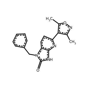 Cc1noc(C)c1-c1ccc2c(n1)[nH]c(=O)n2Cc1ccccc1